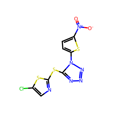 O=[N+]([O-])c1ccc(-n2nnnc2Sc2ncc(Cl)s2)s1